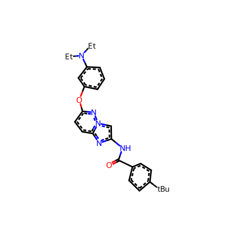 CCN(CC)c1cccc(Oc2ccc3nc(NC(=O)c4ccc(C(C)(C)C)cc4)cn3n2)c1